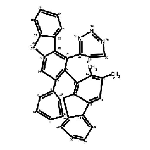 Cc1cc2c(c(-c3c(-c4ccccc4)cc4[se]c5ccccc5c4c3-c3ccnnn3)c1C)Cc1ccccc1-2